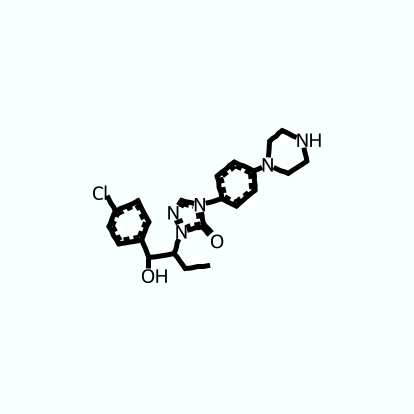 CCC(C(O)c1ccc(Cl)cc1)n1ncn(-c2ccc(N3CCNCC3)cc2)c1=O